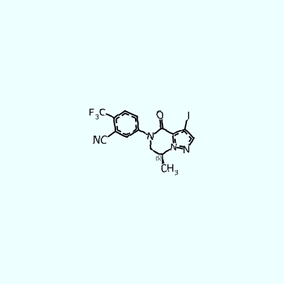 C[C@H]1CN(c2ccc(C(F)(F)F)c(C#N)c2)C(=O)c2c(I)cnn21